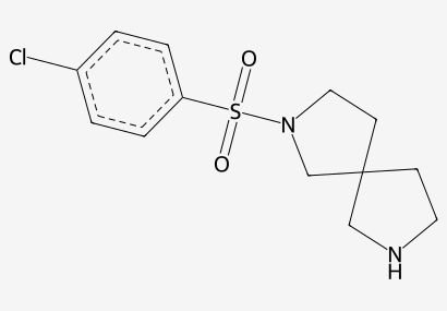 O=S(=O)(c1ccc(Cl)cc1)N1CCC2(CCNC2)C1